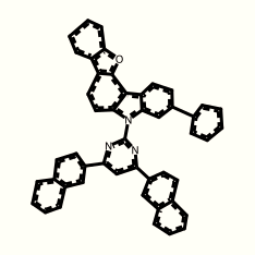 c1ccc(-c2ccc3c4c5oc6ccccc6c5ccc4n(-c4nc(-c5ccc6ccccc6c5)cc(-c5ccc6ccccc6c5)n4)c3c2)cc1